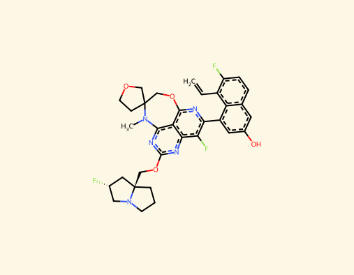 C=Cc1c(F)ccc2cc(O)cc(-c3nc4c5c(nc(OC[C@@]67CCCN6C[C@H](F)C7)nc5c3F)N(C)C3(CCOC3)CO4)c12